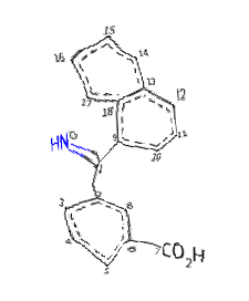 N=C(c1cccc(C(=O)O)c1)c1cccc2ccccc12